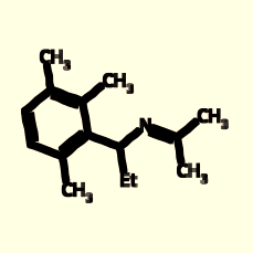 CCC(N=C(C)C)c1c(C)ccc(C)c1C